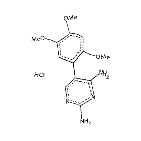 COc1cc(OC)c(-c2cnc(N)nc2N)cc1OC.Cl